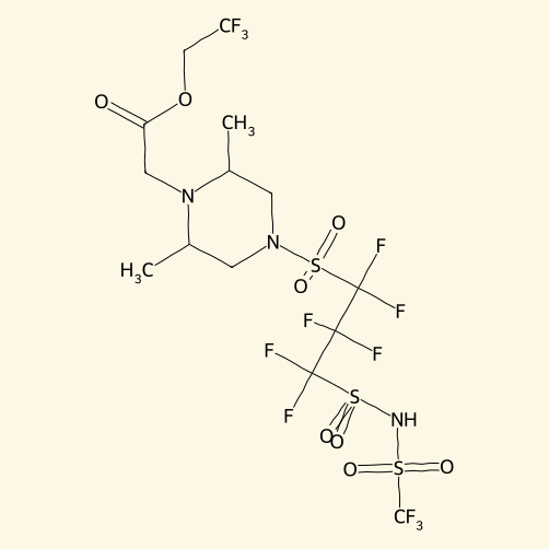 CC1CN(S(=O)(=O)C(F)(F)C(F)(F)C(F)(F)S(=O)(=O)NS(=O)(=O)C(F)(F)F)CC(C)N1CC(=O)OCC(F)(F)F